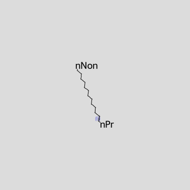 CCC/C=C/CCCCCCCCCCCCCCCCCCCC